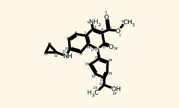 COC(=O)c1c(N)c2ccc(NC3CC3)cc2n(-c2ccc(C(C)O)cc2)c1=O